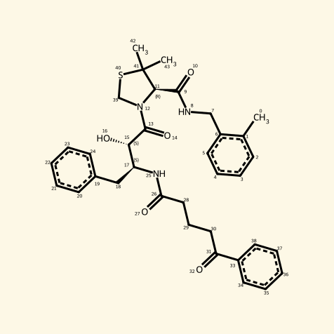 Cc1ccccc1CNC(=O)[C@H]1N(C(=O)[C@@H](O)[C@H](Cc2ccccc2)NC(=O)CCCC(=O)c2ccccc2)CSC1(C)C